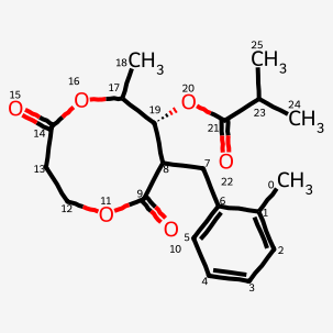 Cc1ccccc1CC1C(=O)OCCC(=O)OC(C)[C@@H]1OC(=O)C(C)C